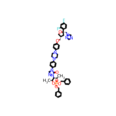 CC[C@@H]([C@H](C)OP(=O)(OCc1ccccc1)OCc1ccccc1)n1ncn(-c2ccc(N3CCN(c4ccc(OC[C@@H]5CO[C@@](Cn6cncn6)(c6ccc(F)cc6F)C5)cc4)CC3)cc2)c1=O